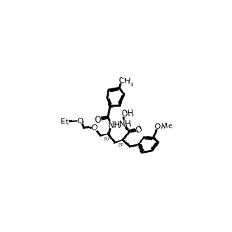 CCOCOC[C@H](C[C@H](Cc1cccc(OC)c1)C(=O)NO)NC(=O)c1ccc(C)cc1